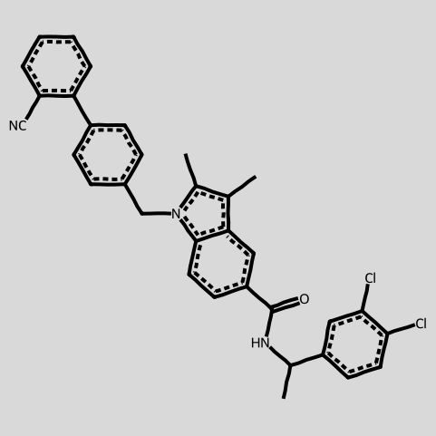 Cc1c(C)n(Cc2ccc(-c3ccccc3C#N)cc2)c2ccc(C(=O)NC(C)c3ccc(Cl)c(Cl)c3)cc12